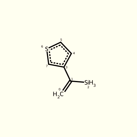 C=C([SiH3])c1ccsc1